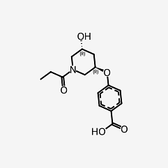 CCC(=O)N1C[C@H](O)C[C@@H](Oc2ccc(C(=O)O)cc2)C1